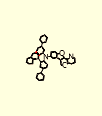 c1ccc(-c2cccc(N(c3ccc4oc5c(ccc6cccnc65)c4c3)c3ccc(-c4ccccc4)cc3-c3cccc4ccccc34)c2)cc1